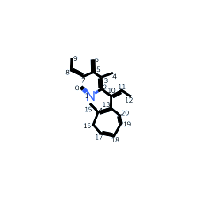 C=NC(=C(/C)C(=C)/C=C\C)/C(=C/C)C1=C(C)CC=CC=C1